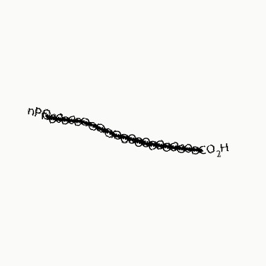 CCCOCCOCCOCCOCCOCCOCCOCCOCCOCCOCCOCCOCCOCCOCCOCCOCCOCCOCCOCCOCCOCCOCCC(=O)O